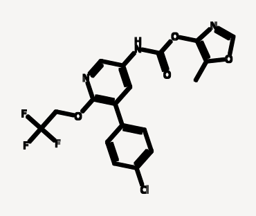 Cc1ocnc1OC(=O)Nc1cnc(OCC(F)(F)F)c(-c2ccc(Cl)cc2)c1